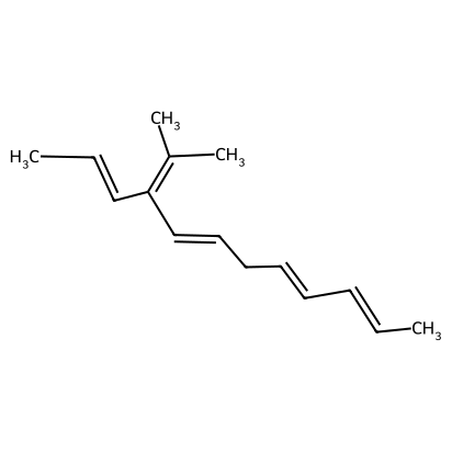 CC=CC=CCC=CC(C=CC)=C(C)C